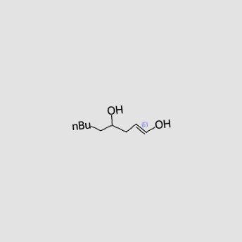 CCCCCC(O)C/C=C/O